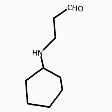 O=CCCNC1CCCCC1